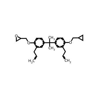 C=CCc1cc(C(C)(C)c2ccc(OCC3CO3)c(CC=C)c2)ccc1OCC1CC1